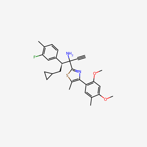 C#CC(N)(c1nc(-c2cc(C)c(OC)cc2OC)c(C)s1)[C@@H](CC1CC1)c1ccc(C)c(F)c1